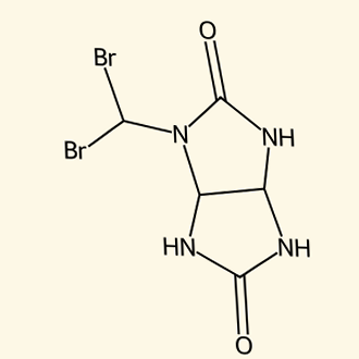 O=C1NC2NC(=O)N(C(Br)Br)C2N1